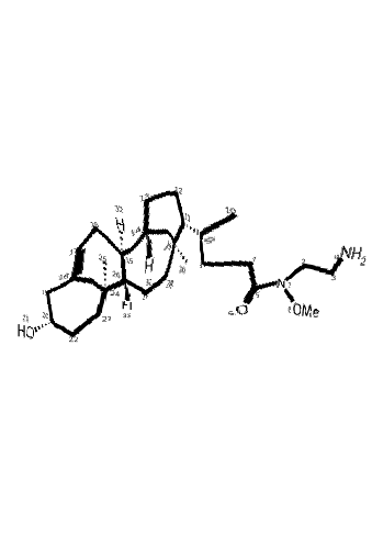 CON(CCN)C(=O)CCC(C)[C@H]1CC[C@H]2[C@@H]3CC=C4C[C@@H](O)CC[C@]4(C)[C@H]3CC[C@]12C